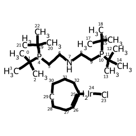 CC(C)(C)P(CCNCCP(C(C)(C)C)C(C)(C)C)C(C)(C)C.[Cl][IrH2][C]1=CCCCCCC1